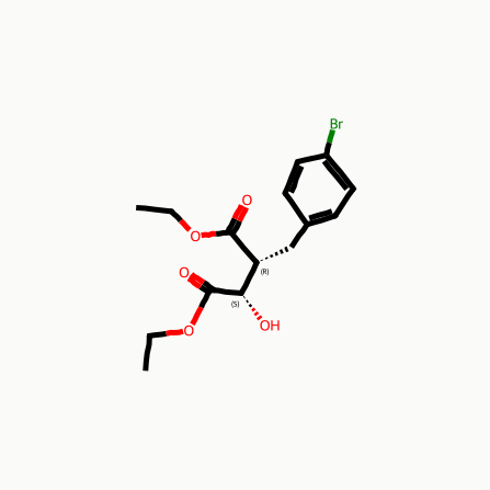 CCOC(=O)[C@@H](O)[C@@H](Cc1ccc(Br)cc1)C(=O)OCC